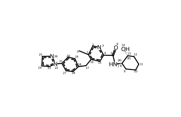 Cc1cnc(C(=O)N[C@@H]2CCCC[C@H]2O)cc1Cc1ccc(-n2cccn2)cc1